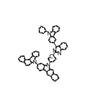 c1ccc(-n2c3ccccc3c3cc(-c4nc(-c5ccc(-n6c7cc(-n8c9ccccc9c9c%10ccccc%10ccc98)ccc7c7cc8ccccc8cc76)cc5)nc5ccccc45)ccc32)cc1